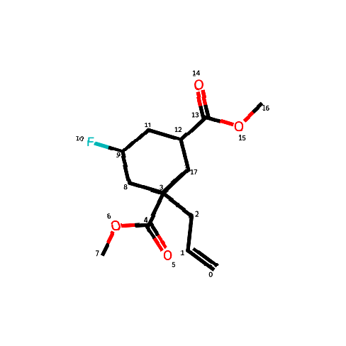 C=CCC1(C(=O)OC)CC(F)CC(C(=O)OC)C1